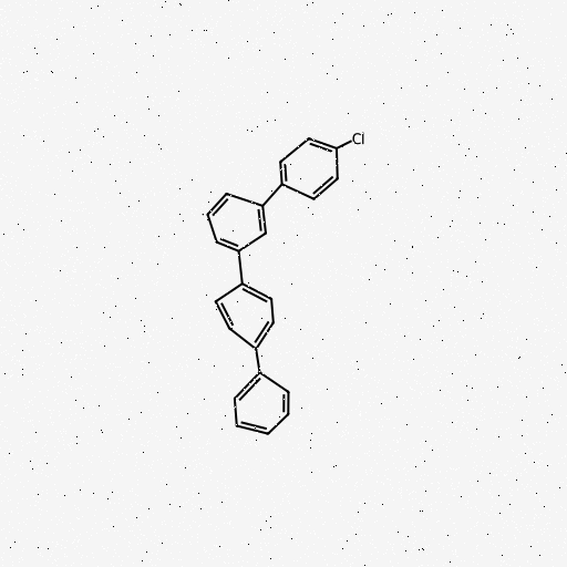 Clc1ccc(-c2c[c]cc(-c3ccc(-c4ccccc4)cc3)c2)cc1